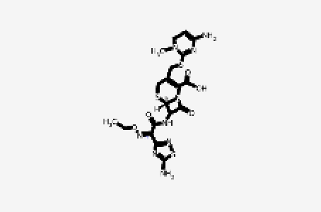 CCO/N=C(\C(=O)NC1C(=O)N2C(C(=O)O)=C(CSC3=NC(N)=CCN3C)CS[C@@H]12)c1nsc(N)n1